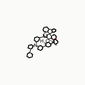 CC1(C)c2ccccc2C2(c3ccccc3-c3ccccc32)c2ccc(-c3cccc(N(c4cccc(-c5ccccc5)c4)c4cccc(-c5ccc(-c6ccccc6)cc5)c4)c3)cc21